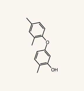 Cc1ccc(Oc2ccc(C)c(O)c2)c(C)c1